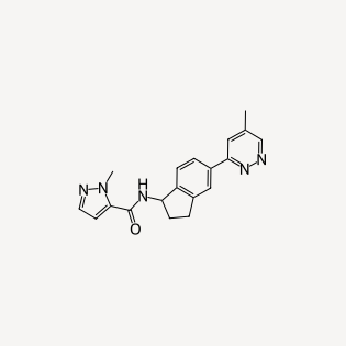 Cc1cnnc(-c2ccc3c(c2)CCC3NC(=O)c2ccnn2C)c1